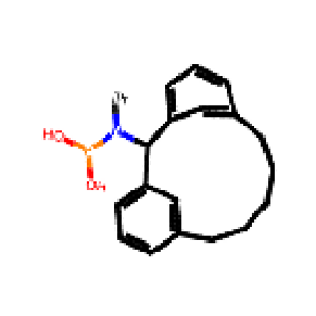 CC(C)N(C1c2cccc(c2)CCCCCc2cccc1c2)P(O)O